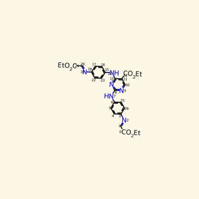 CCOC(=O)C=Nc1ccc(Nc2ncc(C(=O)OCC)c(Nc3ccc(N=CC(=O)OCC)cc3)n2)cc1